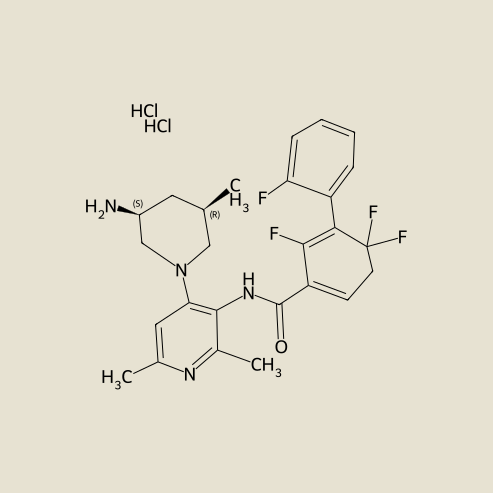 Cc1cc(N2C[C@H](C)C[C@H](N)C2)c(NC(=O)C2=CCC(F)(F)C(c3ccccc3F)=C2F)c(C)n1.Cl.Cl